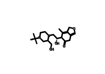 CC1=C2COC=C2CC(=O)C1[C@H](O)CN1CCN(C(C)(C)C)CC1CO